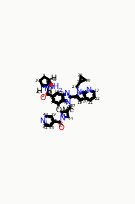 COc1cc(C(=O)N2C[C@H]3CC[C@@H]2[C@@H]3N)cc2nc(-c3cc4cccnc4n3CC3CC3)n(CC3CN(C(=O)c4ccncc4)C3)c12